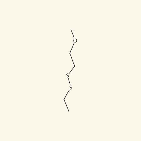 CCSSCCOC